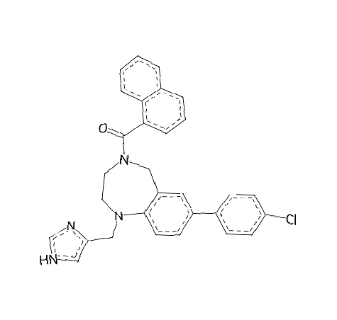 O=C(c1cccc2ccccc12)N1CCN(Cc2c[nH]cn2)c2ccc(-c3ccc(Cl)cc3)cc2C1